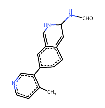 Cc1ccncc1-c1ccc2c(c1)=CNC(NC=O)C=2